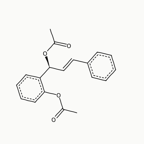 CC(=O)Oc1ccccc1[C@H](/C=C/c1ccccc1)OC(C)=O